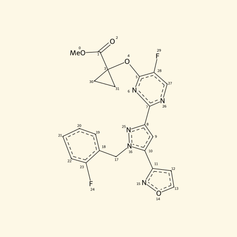 COC(=O)C1(Oc2nc(-c3cc(-c4ccon4)n(Cc4ccccc4F)n3)ncc2F)CC1